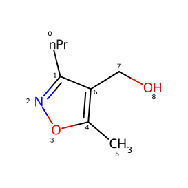 CCCc1noc(C)c1CO